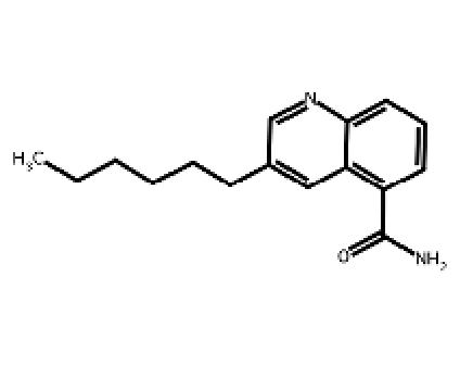 CCCCCCc1cnc2cccc(C(N)=O)c2c1